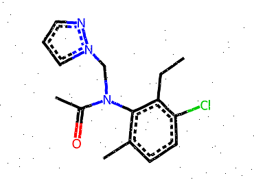 CCc1c(Cl)ccc(C)c1N(Cn1cccn1)C(C)=O